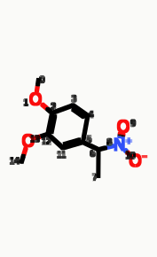 COc1ccc(C(C)[N+](=O)[O-])cc1OC